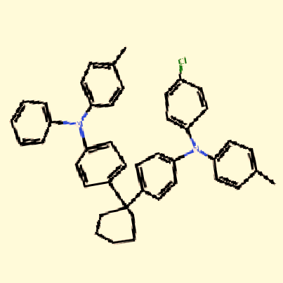 Cc1ccc(N(c2ccccc2)c2ccc(C3(c4ccc(N(c5ccc(C)cc5)c5ccc(Cl)cc5)cc4)CCCCC3)cc2)cc1